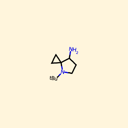 CC(C)(C)N1CCC(N)C12CC2